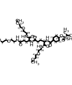 COCCOCCNC(=O)CCC(NC(=O)CCC(NC(=O)C1CCC(OP(=O)(S)C(C)C)CC1)C(=O)NCCOCCOC)C(=O)NCCOCCOC